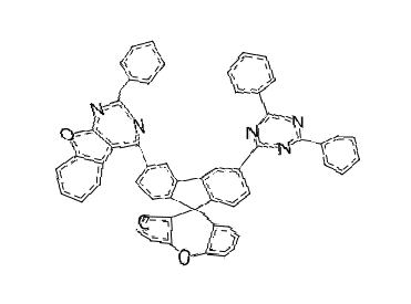 c1ccc(-c2nc(-c3ccccc3)nc(-c3ccc4c(c3)-c3cc(-c5nc(-c6ccccc6)nc6oc7ccccc7c56)ccc3C43c4ccccc4Oc4ccccc43)n2)cc1